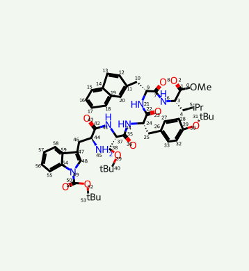 COC(=O)[C@H](CC(C)C)NC(=O)[C@@H](Cc1ccc2ccccc2c1)NC(=O)[C@H](Cc1ccc(OC(C)(C)C)cc1)NC(=O)[C@H](COC(C)(C)C)NC(=O)[C@@H](N)Cc1cn(C(=O)OC(C)(C)C)c2ccccc12